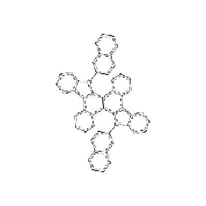 c1ccc2cc(-n3c4ccccc4c4c5ccccc5c5c(c6ccccc6c6c7ccccc7n(-c7ccc8ccccc8c7)c65)c43)ccc2c1